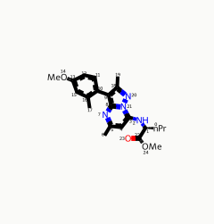 CCC[C@H](Nc1cc(C)nc2c(-c3ccc(OC)cc3C)c(C)nn12)C(=O)OC